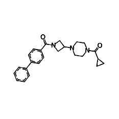 O=C(c1ccc(-c2ccccc2)cc1)N1CC(N2CCN(C(=O)C3CC3)CC2)C1